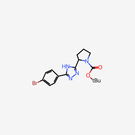 CC(C)(C)OC(=O)N1CCCC1c1nnc(-c2ccc(Br)cc2)[nH]1